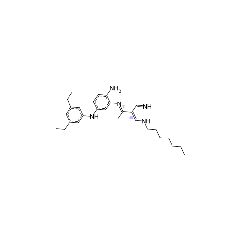 CCCCCCCN/C=C(C=N)/C(C)=N/c1cc(Nc2cc(CC)cc(CC)c2)ccc1N